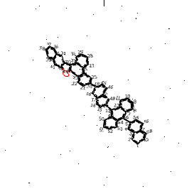 c1ccc2cc(-c3c4ccccc4c(-c4ccc5cc(-c6ccc7c(c6)c6ccccc6c6c8cc9ccccc9cc8oc76)ccc5c4)c4ccccc34)ccc2c1